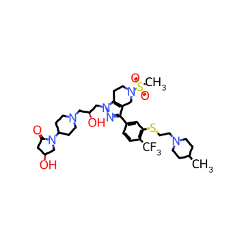 CC1CCN(CCSc2cc(-c3nn(C[C@@H](O)CN4CCC(N5C[C@@H](O)CC5=O)CC4)c4c3CN(S(C)(=O)=O)CC4)ccc2C(F)(F)F)CC1